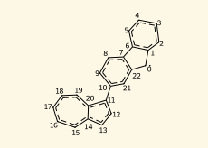 [CH]1c2ccccc2-c2ccc(-c3ccc4cccccc3-4)cc21